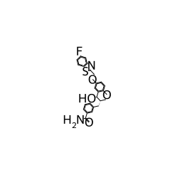 NC(=O)c1cccc(C[C@H]2COc3ccc(OCc4nc5cc(F)ccc5s4)cc3[C@H]2O)c1